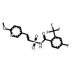 COc1ccc(/C=C/S(=O)(=O)NC(=O)c2ccc(F)cc2C(F)(F)F)cn1